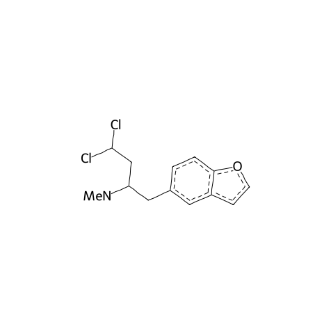 CNC(Cc1ccc2occc2c1)CC(Cl)Cl